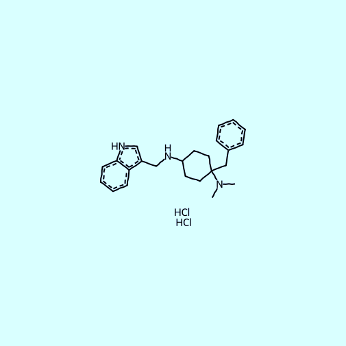 CN(C)C1(Cc2ccccc2)CCC(NCc2c[nH]c3ccccc23)CC1.Cl.Cl